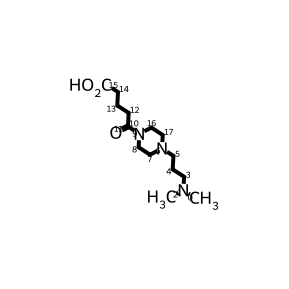 CN(C)CCCN1CCN(C(=O)CCCC(=O)O)CC1